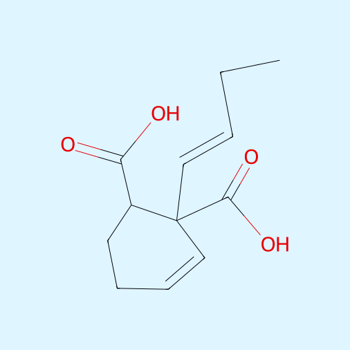 CCC=CC1(C(=O)O)C=CCCC1C(=O)O